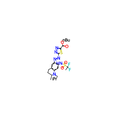 CCCCOC(=O)c1nnc(N=Nc2cc3c(cc2NS(=O)(=O)C(C)(F)F)N(CC(C)C)C(C)CC3)s1